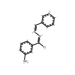 O=[N+]([O-])c1cccc(/C(Cl)=N\N=C/c2cccnc2)c1